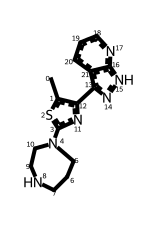 Cc1sc(N2CCCNCC2)nc1-c1n[nH]c2ncccc12